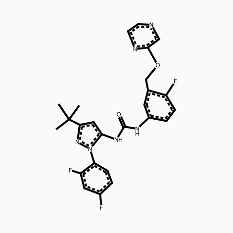 CC(C)(C)c1cc(NC(=O)Nc2ccc(F)c(COc3cnccn3)c2)n(-c2ccc(F)cc2F)n1